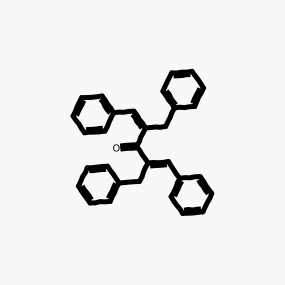 O=C(C(=Cc1ccccc1)Cc1ccccc1)C(=Cc1ccccc1)Cc1ccccc1